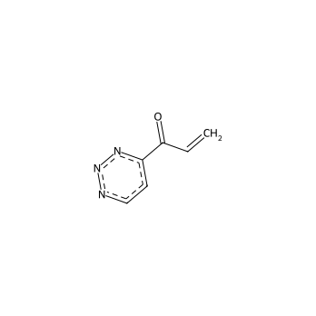 C=CC(=O)c1ccnnn1